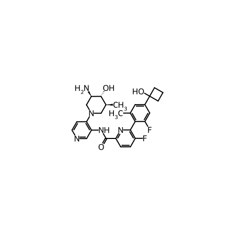 Cc1cc(C2(O)CCC2)cc(F)c1-c1nc(C(=O)Nc2cnccc2N2C[C@@H](N)[C@H](O)[C@@H](C)C2)ccc1F